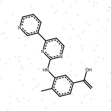 C=C(O)c1ccc(C)c(Nc2nccc(-c3cccnc3)n2)c1